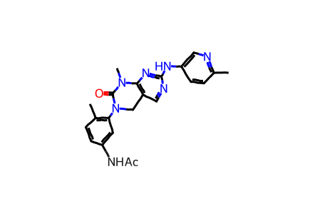 CC(=O)Nc1ccc(C)c(N2Cc3cnc(Nc4ccc(C)nc4)nc3N(C)C2=O)c1